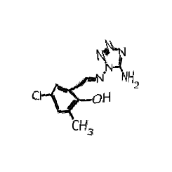 Cc1cc(Cl)cc(C=Nn2nnnc2N)c1O